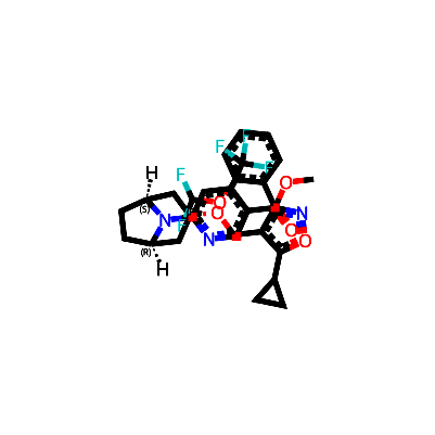 COC(=O)c1cnc(N2[C@@H]3CC[C@H]2C[C@H](OCc2c(-c4ccccc4OC(F)F)noc2C2CC2)C3)cc1C(F)(F)F